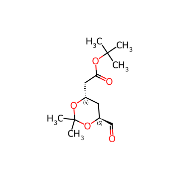 CC(C)(C)OC(=O)C[C@@H]1C[C@@H](C=O)OC(C)(C)O1